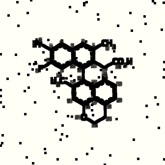 Cc1cc2cc(C(C)C)c(F)cc2c(-c2c(C)cc3c4c(ccnc24)CCO3)c1CC(=O)O